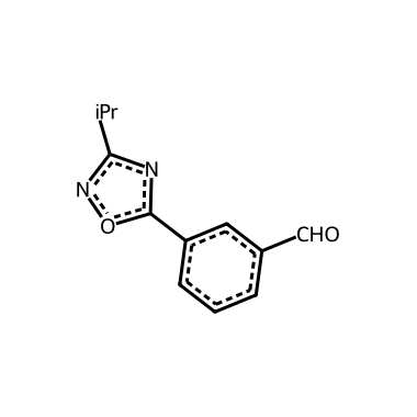 CC(C)c1noc(-c2cccc(C=O)c2)n1